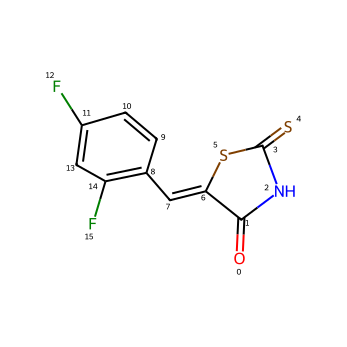 O=C1NC(=S)S/C1=C\c1ccc(F)cc1F